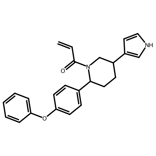 C=CC(=O)N1CC(c2cc[nH]c2)CCC1c1ccc(Oc2ccccc2)cc1